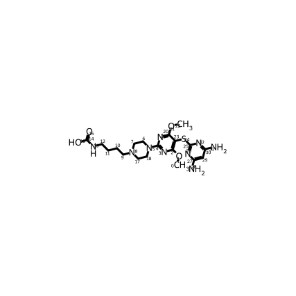 COc1nc(N2CCN(CCCCNC(=O)O)CC2)nc(OC)c1Sc1nc(N)cc(N)n1